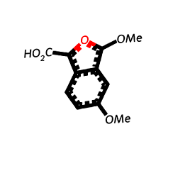 COc1ccc2c(C(=O)O)oc(OC)c2c1